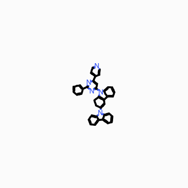 C1=C(n2c3ccccc3c3ccccc32)CCc2c1c1ccccc1n2-c1cc(-c2ccncc2)nc(-c2ccccc2)n1